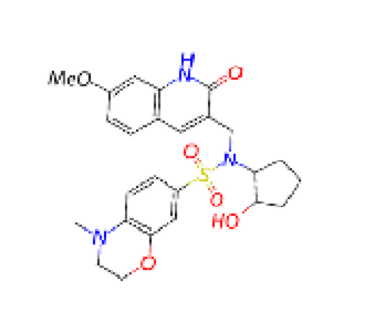 COc1ccc2cc(CN(C3CCCC3O)S(=O)(=O)c3ccc4c(c3)OCCN4C)c(=O)[nH]c2c1